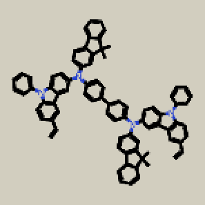 C=Cc1ccc2c(c1)c1cc(N(c3ccc(-c4ccc(N(c5ccc6c(c5)C(C)(C)C5C=CC=CC65)c5ccc6c(c5)c5cc(C=C)ccc5n6-c5ccccc5)cc4)cc3)c3ccc4c(c3)C(C)(C)c3ccccc3-4)ccc1n2-c1ccccc1